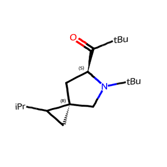 CC(C)C1C[C@@]12C[C@@H](C(=O)C(C)(C)C)N(C(C)(C)C)C2